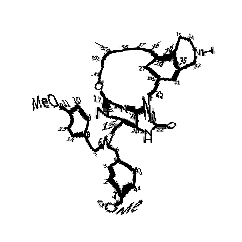 COc1ccc(CN(Cc2ccc(OC)cc2)c2nc3nc4c2[nH]c(=O)n4Cc2cc(c4c(c2)CNCC4)CCCCCCO3)cc1